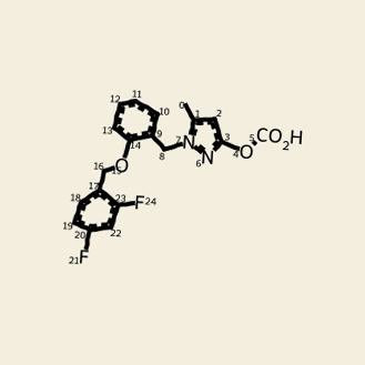 Cc1cc(OC(=O)O)nn1Cc1ccccc1OCc1ccc(F)cc1F